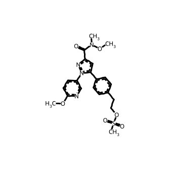 COc1ccc(-n2nc(C(=O)N(C)OC)cc2-c2ccc(CCOS(C)(=O)=O)cc2)cn1